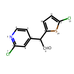 O=CC(c1ccnc(Cl)c1)c1ccc(Cl)s1